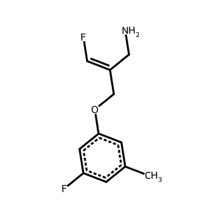 Cc1cc(F)cc(OCC(=CF)CN)c1